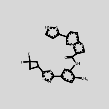 Cc1ccc(-c2noc(C3CC(F)(F)C3)n2)cc1NC(=O)c1cnc2ccc(-c3cc[nH]n3)cn12